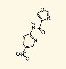 O=C(Nc1ccc([N+](=O)[O-])cn1)c1cocn1